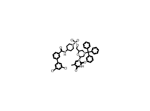 Cc1cn(C2CN(C(c3ccccc3)(c3ccccc3)c3ccccc3)CC(COP(=O)(Cl)N3CCC(NC(=O)c4cccc(-c5cc(Cl)cc(Cl)c5)c4)CC3)O2)c(=O)[nH]c1=O